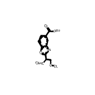 CCOCC(C=O)c1nc2cc(C(=O)OC)ccc2o1